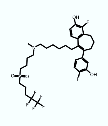 CN(CCCCCCC1=C(c2ccc(F)c(O)c2)CCCc2c1ccc(O)c2F)CCCCS(=O)(=O)CCCC(F)(F)C(F)(F)F